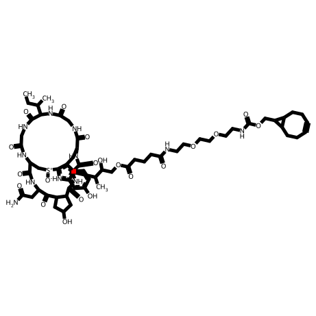 CCC(C)C1NC(=O)CNC(=O)C2Cc3c([nH]c4cc(O)ccc34)[S+]([O-])CC(NC(=O)CNC1=O)C(=O)NC(CC(N)=O)C(=O)C1CC(O)CC1C(=O)NC(C(C)C(O)COC(=O)CCCC(=O)NCCOCCOCCNC(=O)OCC1C3CCC#CCCC31)C(=O)N2